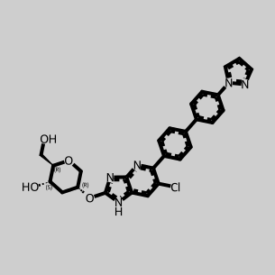 OC[C@H]1OC[C@H](Oc2nc3nc(-c4ccc(-c5ccc(-n6cccn6)cc5)cc4)c(Cl)cc3[nH]2)C[C@@H]1O